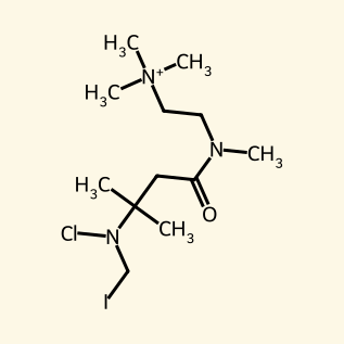 CN(CC[N+](C)(C)C)C(=O)CC(C)(C)N(Cl)CI